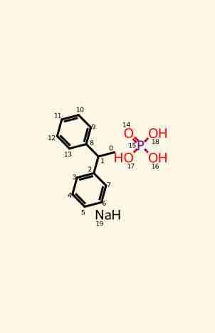 CC(c1ccccc1)c1ccccc1.O=P(O)(O)O.[NaH]